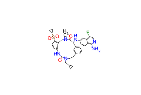 CN1Cc2cc(ccc2S(=O)(=O)C2CC2)NC(=O)N(CC2CC2)CCc2cccc(c2)C(Nc2ccc3c(N)ncc(F)c3c2)C1=O